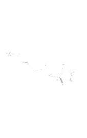 COCCCOCC1=CCCO1